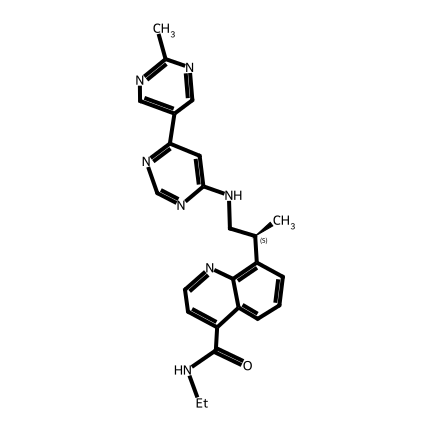 CCNC(=O)c1ccnc2c([C@H](C)CNc3cc(-c4cnc(C)nc4)ncn3)cccc12